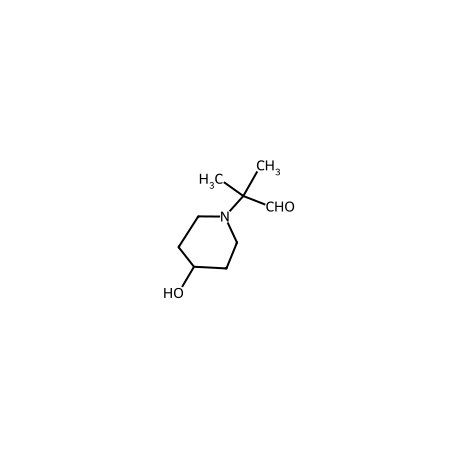 CC(C)(C=O)N1CCC(O)CC1